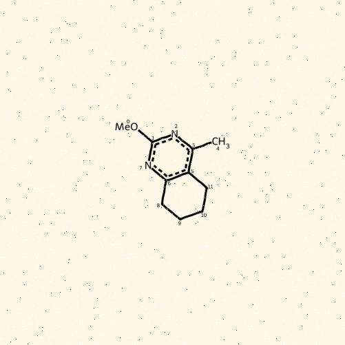 COc1nc(C)c2c(n1)CCCC2